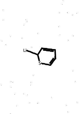 [Li][CH]1C=CC=CS1